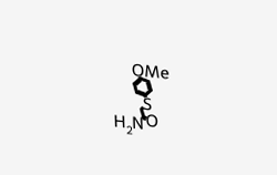 COc1ccc(SCC(N)=O)cc1